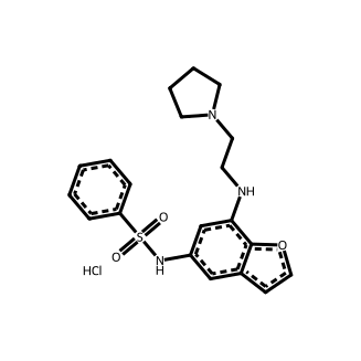 Cl.O=S(=O)(Nc1cc(NCCN2CCCC2)c2occc2c1)c1ccccc1